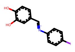 Oc1ccc(/C=N/c2ccc(I)cc2)cc1O